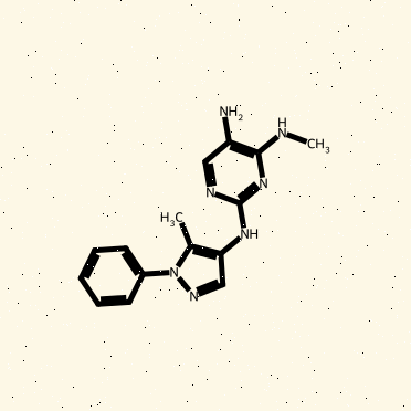 CNc1nc(Nc2cnn(-c3ccccc3)c2C)ncc1N